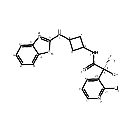 C[C@@](O)(C(=O)NC1CC(Nc2nc3ccccc3s2)C1)c1cccnc1Cl